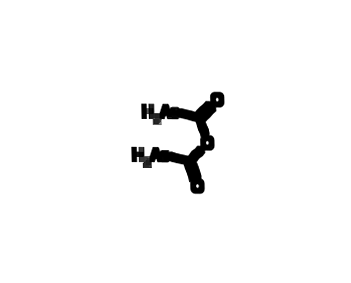 O=C([AsH2])OC(=O)[AsH2]